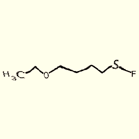 CCOCCCCSF